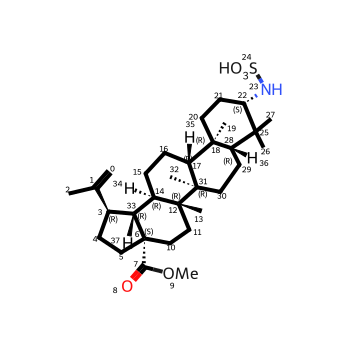 C=C(C)[C@@H]1CC[C@]2(C(=O)OC)CC[C@]3(C)[C@H](CC[C@@H]4[C@@]5(C)CC[C@H](NS(=O)(=O)O)C(C)(C)[C@@H]5CC[C@]43C)[C@@H]12